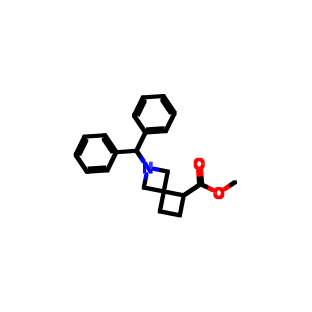 COC(=O)C1CCC12CN(C(c1ccccc1)c1ccccc1)C2